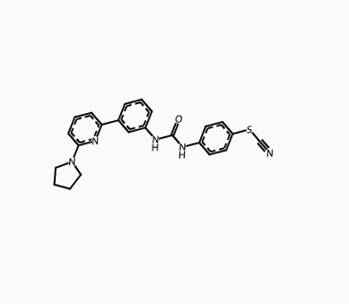 N#CSc1ccc(NC(=O)Nc2cccc(-c3cccc(N4CCCC4)n3)c2)cc1